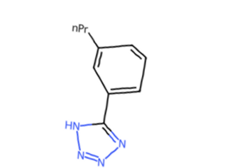 CCCc1cccc(-c2nnn[nH]2)c1